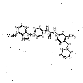 CNc1ncnc2c1ncn2-c1ccc(NC(=O)Nc2ccc(CN3CCOCC3)c(C(F)(F)F)c2)cc1